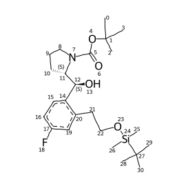 CC(C)(C)OC(=O)N1CCC[C@H]1[C@@H](O)c1ccc(F)cc1CCO[Si](C)(C)C(C)(C)C